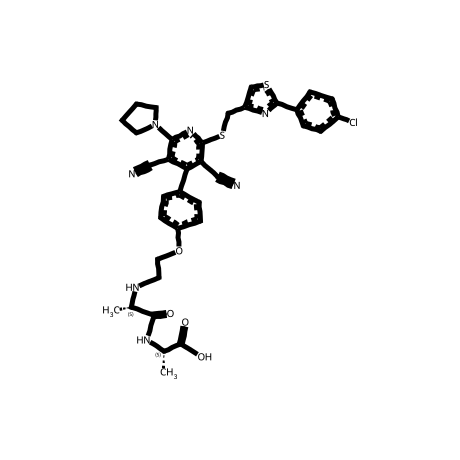 C[C@H](NC(=O)[C@H](C)NCCOc1ccc(-c2c(C#N)c(SCc3csc(-c4ccc(Cl)cc4)n3)nc(N3CCCC3)c2C#N)cc1)C(=O)O